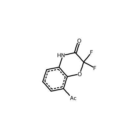 CC(=O)c1cccc2c1OC(F)(F)C(=O)N2